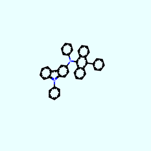 c1ccc(-c2c3ccccc3c(N(c3ccccc3)c3ccc4c(c3)c3ccccc3n4-c3ccccc3)c3ccccc23)cc1